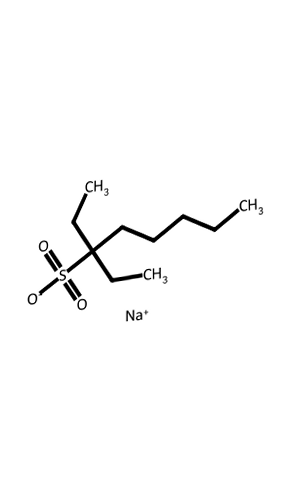 CCCCCC(CC)(CC)S(=O)(=O)[O-].[Na+]